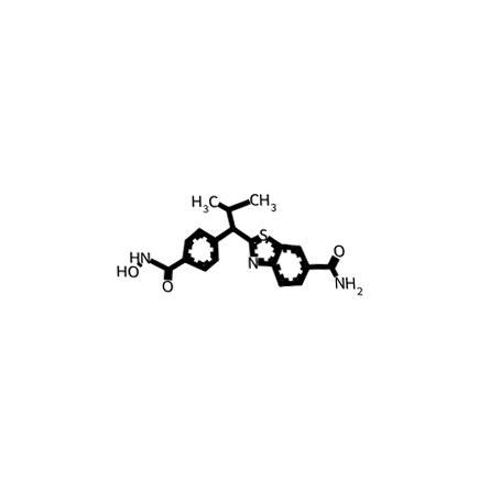 CC(C)C(c1ccc(C(=O)NO)cc1)c1nc2ccc(C(N)=O)cc2s1